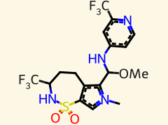 COC(Nc1ccnc(C(F)(F)F)c1)c1c2c(cn1C)S(=O)(=O)NC(C(F)(F)F)CC2